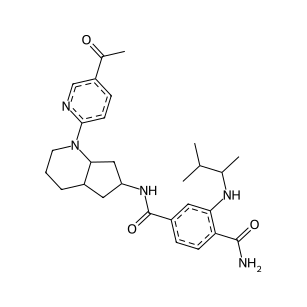 CC(=O)c1ccc(N2CCCC3CC(NC(=O)c4ccc(C(N)=O)c(NC(C)C(C)C)c4)CC32)nc1